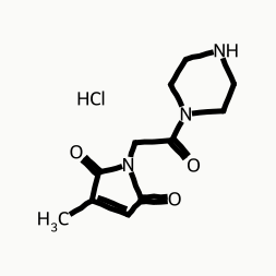 CC1=CC(=O)N(CC(=O)N2CCNCC2)C1=O.Cl